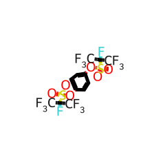 O=S(=O)(Oc1ccc(OS(=O)(=O)C(F)(C(F)(F)F)C(F)(F)F)cc1)C(F)(C(F)(F)F)C(F)(F)F